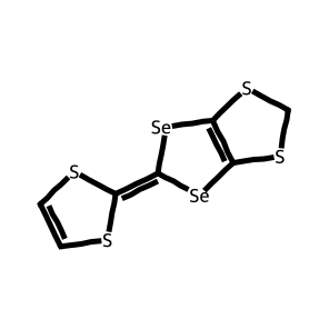 C1=CSC(=C2[Se]C3=C(SCS3)[Se]2)S1